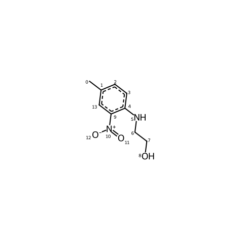 Cc1ccc(NCCO)c([N+](=O)[O-])c1